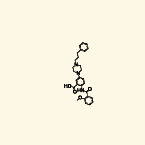 COc1ccccc1C(=O)Nc1ccc(N2CCN(CCCc3ccccc3)CC2)cc1C(=O)O